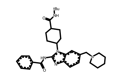 CC(C)(C)NC(=O)C1CCC(n2c(NC(=O)c3ccccc3)nc3ccc(CN4CCCCC4)cc32)CC1